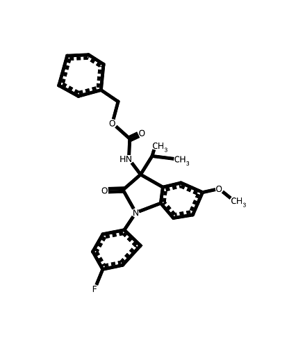 COc1ccc2c(c1)C(NC(=O)OCc1ccccc1)(C(C)C)C(=O)N2c1ccc(F)cc1